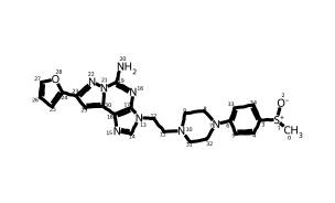 C[S+]([O-])c1ccc(N2CCN(CCn3cnc4c3nc(N)n3nc(-c5ccco5)cc43)CC2)cc1